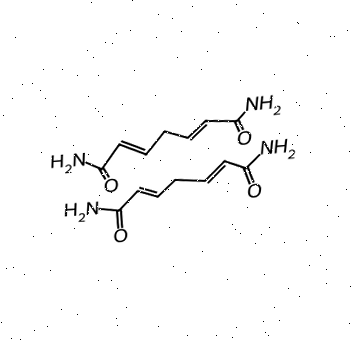 NC(=O)C=CCC=CC(N)=O.NC(=O)C=CCC=CC(N)=O